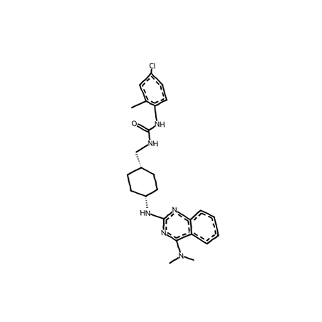 Cc1cc(Cl)ccc1NC(=O)NC[C@H]1CC[C@@H](Nc2nc(N(C)C)c3ccccc3n2)CC1